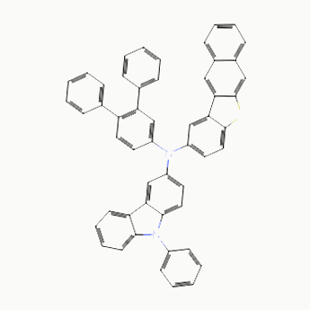 c1ccc(-c2ccc(N(c3ccc4sc5cc6ccccc6cc5c4c3)c3ccc4c(c3)c3ccccc3n4-c3ccccc3)cc2-c2ccccc2)cc1